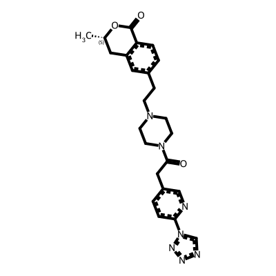 C[C@H]1Cc2cc(CCN3CCN(C(=O)Cc4ccc(-n5cnnn5)nc4)CC3)ccc2C(=O)O1